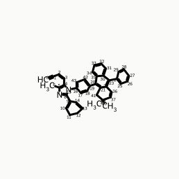 C#C/C=C\c1c(C)nc(C2=CCCC=C2)n1-c1ccc(-c2c3c(c(-c4ccccc4)c4ccccc24)C=CC(C)(C)C3)cc1